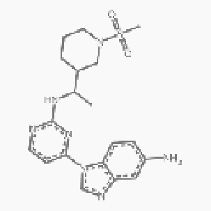 CC(Nc1nccc(-n2cnc3cc(N)ccc32)n1)C1CCCN(S(C)(=O)=O)C1